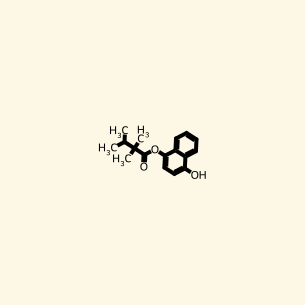 CC(C)C(C)(C)C(=O)Oc1ccc(O)c2ccccc12